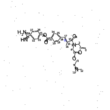 C=CCN(CC(=O)OCCN(C)C)C(=O)/C(C)=C/c1ccc(C(=O)Oc2ccc(C(=N)N)cc2)cc1